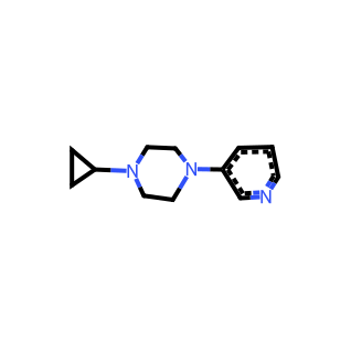 c1cncc(N2CCN(C3CC3)CC2)c1